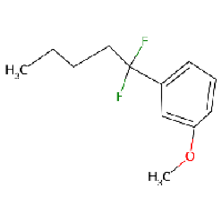 CCCCC(F)(F)c1cccc(OC)c1